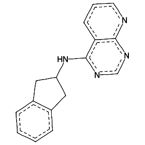 c1ccc2c(c1)CC(Nc1ncnc3ncccc13)C2